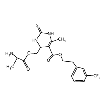 CC1=C(C(=O)OCCc2cccc(C(F)(F)F)c2)C(COC(=O)C(C)N)NC(=S)N1